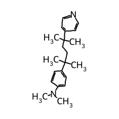 CN(C)c1ccc(C(C)(C)CCC(C)(C)c2ccncc2)cc1